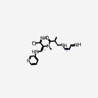 CC(CN/C=C\C=N)C(=O)N(C)/C(=C/Nc1cccnc1)C(=N)Cl